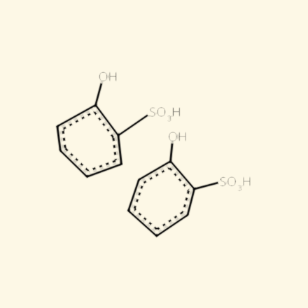 O=S(=O)(O)c1ccccc1O.O=S(=O)(O)c1ccccc1O